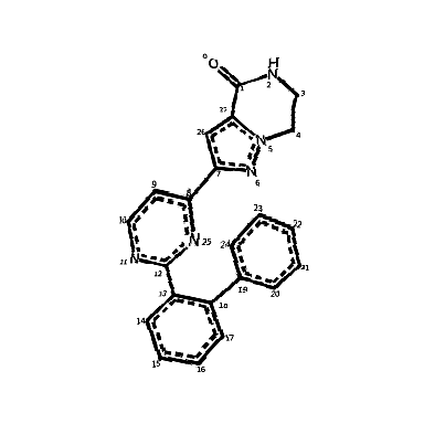 O=C1NCCn2nc(-c3ccnc(-c4ccccc4-c4ccccc4)n3)cc21